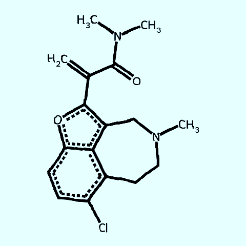 C=C(C(=O)N(C)C)c1oc2ccc(Cl)c3c2c1CN(C)CC3